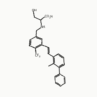 Cc1c(/C=C/c2cc(CNC(CO)C(=O)O)ccc2C(F)(F)F)cccc1-c1ccccc1